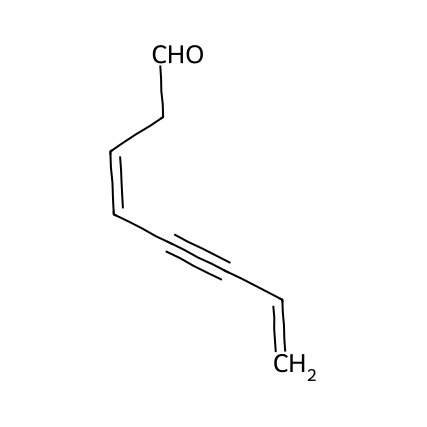 C=CC#C/C=C\CC=O